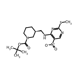 CSc1ncc([N+](=O)[O-])c(NC[C@@H]2CCCN(C(=O)OC(C)(C)C)C2)n1